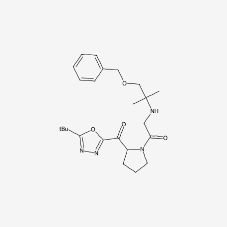 CC(C)(COCc1ccccc1)NCC(=O)N1CCCC1C(=O)c1nnc(C(C)(C)C)o1